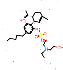 C=C(C)[C@@H]1CCC(C)=C[C@H]1c1c(O)cc(CCCCC)cc1OS(=O)(=O)O.CCN(CC)CCO